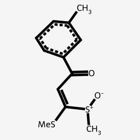 CSC(=CC(=O)c1cccc(C)c1)[S+](C)[O-]